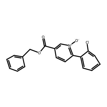 O=C(OCc1ccccc1)c1ccc(-c2ccccc2Cl)[n+]([O-])c1